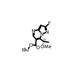 CO[C@@H](C)c1c(C(=O)OC(C)(C)C)cnc2cc(F)nn12